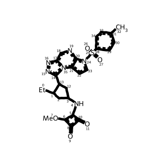 CCC1CC(Nc2c(OC)c(=O)c2=O)CC1c1nnc2cnc3c(ccn3S(=O)(=O)c3ccc(C)cc3)n12